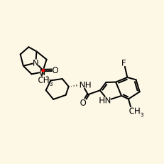 CC(=O)N1C2CCC1CN([C@H]1CCC[C@@H](NC(=O)c3cc4c(F)ccc(C)c4[nH]3)C1)C2